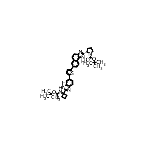 CC(C)(C)OC(=O)NC1(c2nc3ccc(-c4ccc(-c5ccc6c(ccc7nc([C@@H]8CCCN8C(=O)OC(C)(C)C)[nH]c76)c5)s4)cc3[nH]2)CCC1